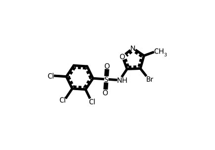 Cc1noc(NS(=O)(=O)c2ccc(Cl)c(Cl)c2Cl)c1Br